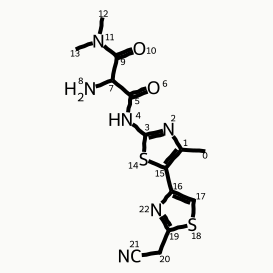 Cc1nc(NC(=O)C(N)C(=O)N(C)C)sc1-c1csc(CC#N)n1